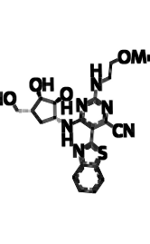 COCCNc1nc(C#N)c(-c2nc3ccccc3s2)c(N[C@@H]2C[C@H](CO)[C@@H](O)[C@H]2O)n1